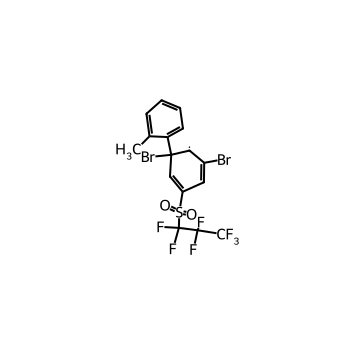 Cc1ccccc1C1(Br)[CH]C(Br)=CC(S(=O)(=O)C(F)(F)C(F)(F)C(F)(F)F)=C1